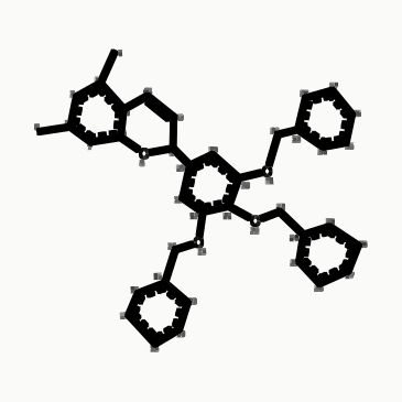 Cc1cc(C)c2c(c1)OC(c1cc(OCc3ccccc3)c(OCc3ccccc3)c(OCc3ccccc3)c1)C=C2